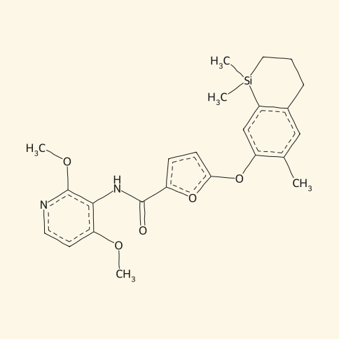 COc1ccnc(OC)c1NC(=O)c1ccc(Oc2cc3c(cc2C)CCC[Si]3(C)C)o1